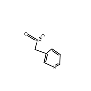 O=[SH](=O)Cc1[c]ccnc1